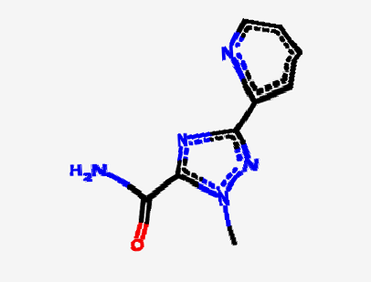 Cn1nc(-c2ccccn2)nc1C(N)=O